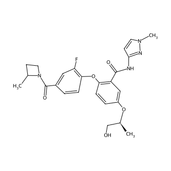 CC1CCN1C(=O)c1ccc(Oc2ccc(O[C@@H](C)CO)cc2C(=O)Nc2ccn(C)n2)c(F)c1